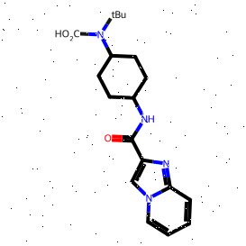 CC(C)(C)N(C(=O)O)C1CCC(NC(=O)c2cn3ccccc3n2)CC1